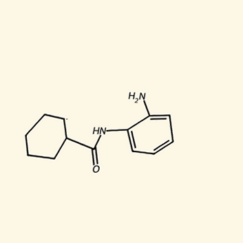 Nc1ccccc1NC(=O)C1[CH]CCCC1